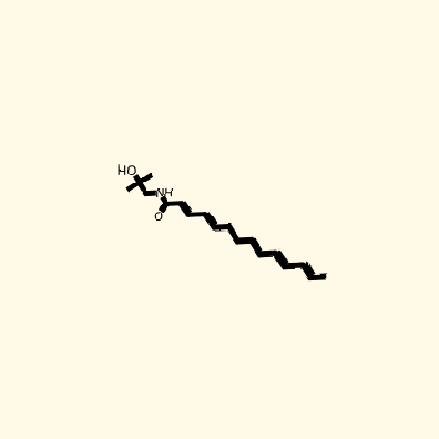 CC=CC=CC=CCCC=CC=CC(=O)NCC(C)(C)O